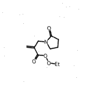 C=C(CN1CCCC1=O)C(=O)OOCC